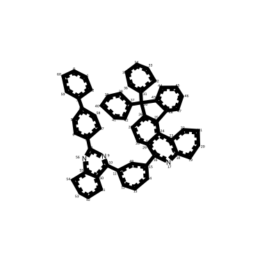 c1ccc(-c2ccc(-c3nc(-c4cccc(-c5nc6ccccc6c6c7c(ccc56)C(c5ccccc5)(c5ccccc5)c5ccccc5-7)c4)c4ccccc4n3)cc2)cc1